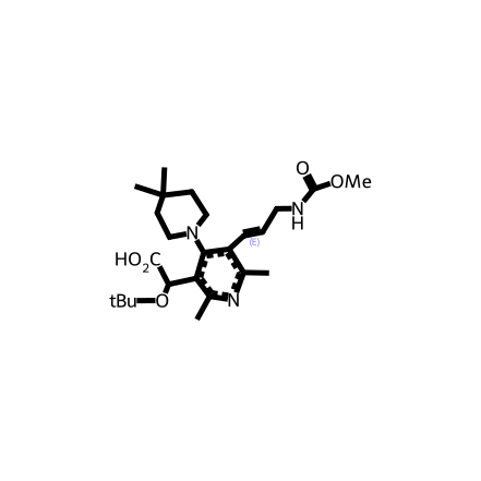 COC(=O)NC/C=C/c1c(C)nc(C)c(C(OC(C)(C)C)C(=O)O)c1N1CCC(C)(C)CC1